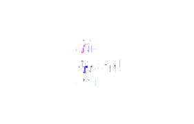 CC(C)Cc1ccc(-n2c(N3CCC(C(=O)N[C@@H]4CCOC4)CC3)nc3cc(Cl)c(Cl)cc32)cc1